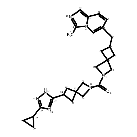 O=C(N1CC2(CC(Cc3ccc4cnc(C(F)(F)F)n4c3)C2)C1)N1CC2(CC(c3nc(C4CC4)n[nH]3)C2)C1